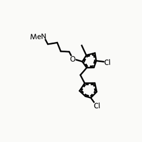 CNCCCCOc1c(C)cc(Cl)cc1Cc1ccc(Cl)cc1